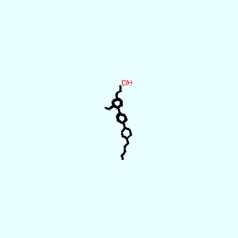 CCCCCC1CCC(c2ccc(-c3ccc(CCCO)cc3CC)cc2)CC1